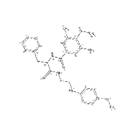 COc1ccc(NCCNC(=O)C(Cc2ccccc2)NC(=O)c2cc(C)c(OC)c(C)c2)cc1